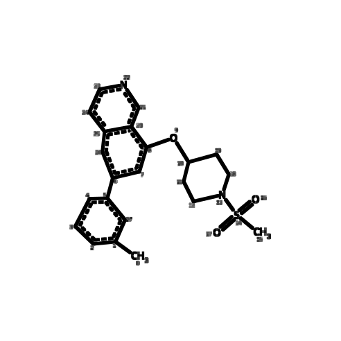 Cc1cccc(-c2cc(OC3CCN(S(C)(=O)=O)CC3)c3cnccc3c2)c1